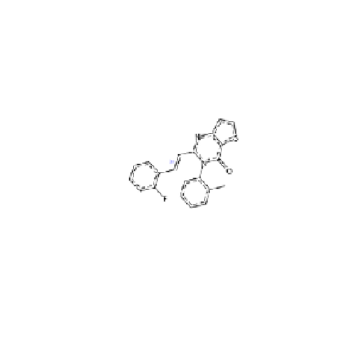 Cc1ccccc1-n1c(/C=C/c2ccccc2F)nc2ccsc2c1=O